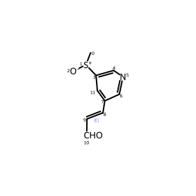 C[S+]([O-])c1cncc(/C=C/C=O)c1